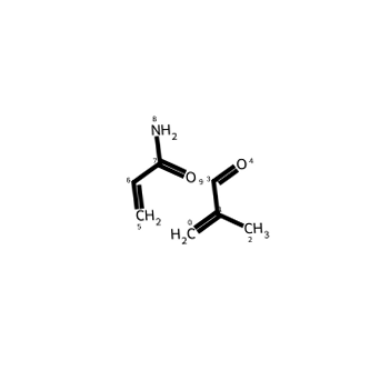 C=C(C)[C]=O.C=CC(N)=O